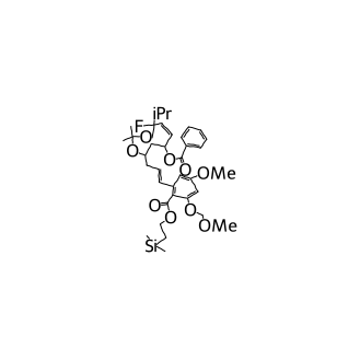 COCOc1cc(OC)cc(/C=C/CC2OC(C)(C)OC2C(/C=C\C(C)(F)C(C)C)OC(=O)c2ccccc2)c1C(=O)OCC[Si](C)(C)C